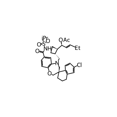 CC/C=C/[C@H](OC(C)=O)[C@@H]1CC[C@H]1CN1C[C@@]2(CCCc3cc(Cl)ccc32)COc2ccc(C(=O)NS(=O)(=O)C(C)C)cc21